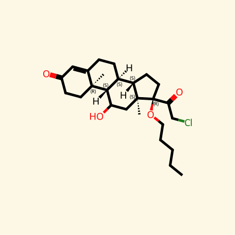 CCCCCO[C@]1(C(=O)CCl)CC[C@H]2[C@@H]3CCC4=CC(=O)CC[C@]4(C)[C@H]3C(O)C[C@@]21C